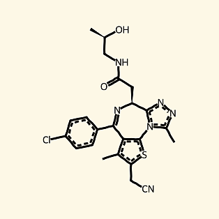 Cc1c(CC#N)sc2c1C(c1ccc(Cl)cc1)=N[C@@H](CC(=O)NC[C@@H](C)O)c1nnc(C)n1-2